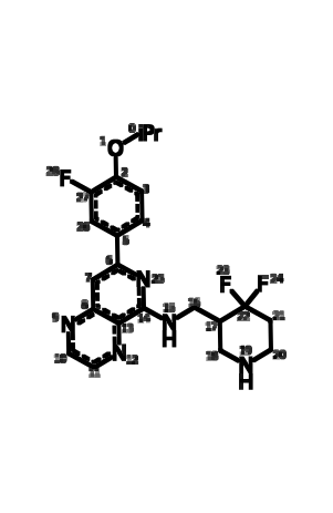 CC(C)Oc1ccc(-c2cc3nccnc3c(NCC3CNCCC3(F)F)n2)cc1F